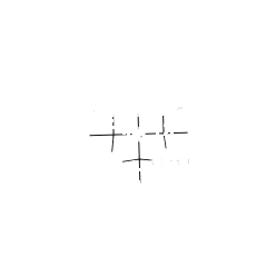 CCCCCC(C)(C)[Si](O)(C(C)(C)CCCCC)C(C)(C)CCCCC